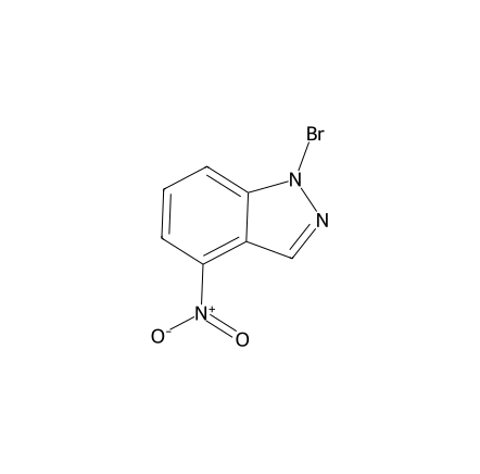 O=[N+]([O-])c1cccc2c1cnn2Br